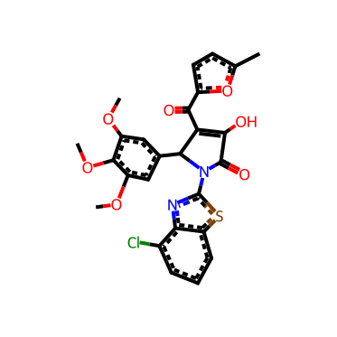 COc1cc(C2C(C(=O)c3ccc(C)o3)=C(O)C(=O)N2c2nc3c(Cl)cccc3s2)cc(OC)c1OC